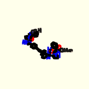 COC(=O)N[C@@H](C(=O)N1CCC[C@H]1c1nc2c([nH]1)-c1ccc(C#Cc3ccc(-c4c[nH]c([C@@H]5CCCN5C(=O)[C@@H](c5ccccc5)N(C)C(=O)O)n4)cc3)cc1CC2)c1ccccc1